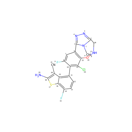 Cn1c2nnc1-c1cc(F)c(-c3ccc(F)c4sc(N)c(C#N)c34)c(Cl)c1ONC2